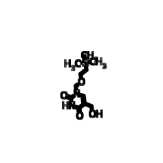 C[Si](C)(C)CCOCn1cc(CO)c(=O)[nH]c1=O